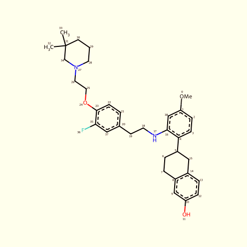 COc1ccc(C2CCc3cc(O)ccc3C2)c(NCCc2ccc(OCCN3CCCC(C)(C)C3)c(F)c2)c1